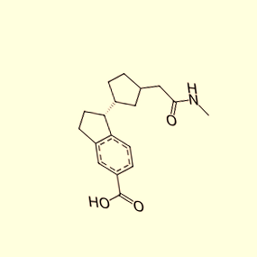 CNC(=O)CC1CCC([C@H]2CCc3cc(C(=O)O)ccc32)C1